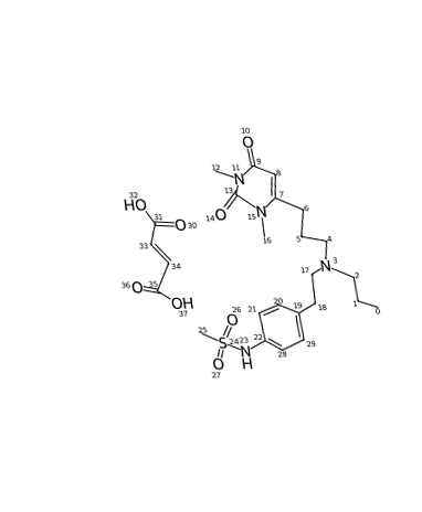 CCCN(CCCc1cc(=O)n(C)c(=O)n1C)CCc1ccc(NS(C)(=O)=O)cc1.O=C(O)C=CC(=O)O